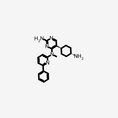 CN(c1cccc(-c2ccccc2)n1)c1nc(N)ncc1[C@H]1CC[C@H](N)CC1